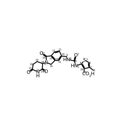 Cc1csc(NC(=O)NCc2ccc3c(c2)CN(C2CCC(=O)NC2=O)C3=O)c1C(=O)O